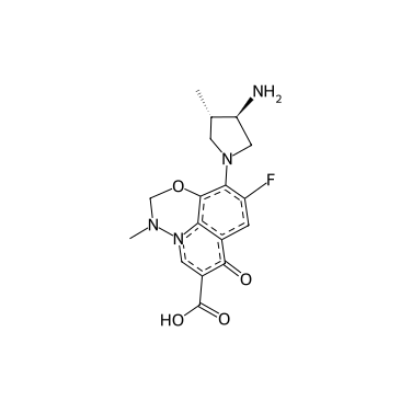 C[C@H]1CN(c2c(F)cc3c(=O)c(C(=O)O)cn4c3c2OCN4C)C[C@@H]1N